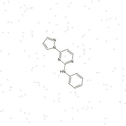 c1ccc(Nc2nccc(-n3cccn3)n2)cc1